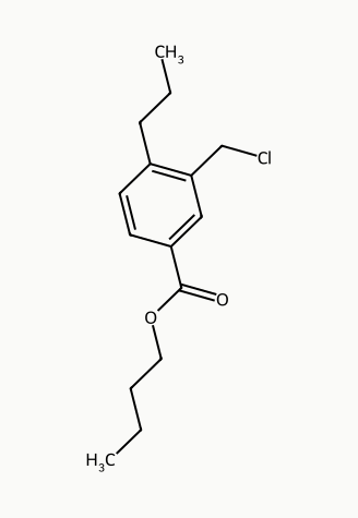 CCCCOC(=O)c1ccc(CCC)c(CCl)c1